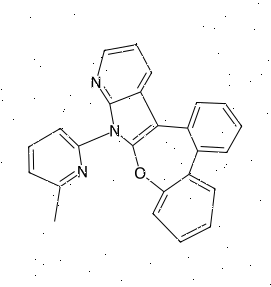 Cc1cccc(-n2c3c(c4cccnc42)-c2ccccc2-c2ccccc2O3)n1